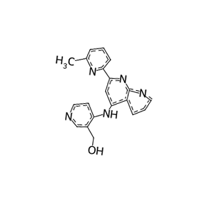 Cc1cccc(-c2cc(Nc3ccncc3CO)c3cccnc3n2)n1